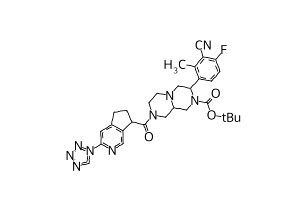 Cc1c(C2CN3CCN(C(=O)C4CCc5cc(-n6cnnn6)ncc54)CC3CN2C(=O)OC(C)(C)C)ccc(F)c1C#N